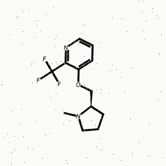 CN1CCC[C@@H]1COc1cccnc1C(F)(F)F